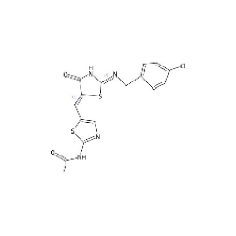 CC(=O)Nc1ncc(/C=C2\S/C(=N\Cc3ccc(Cl)cc3)NC2=O)s1